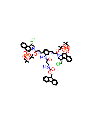 CC(C)(C)OP(=O)(Oc1cc2c(c3ccccc13)[C@H](CCl)CN2C(=O)/C=C/c1ccc(/C=C/C(=O)N2C[C@@H](CCl)c3c2cc(OP(=O)(OC(C)(C)C)OC(C)(C)C)c2ccccc32)c(NC(=O)CCNC(=O)OCC2c3ccccc3-c3ccccc32)c1)OC(C)(C)C